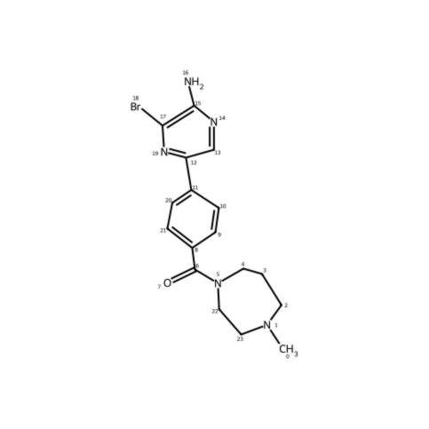 CN1CCCN(C(=O)c2ccc(-c3cnc(N)c(Br)n3)cc2)CC1